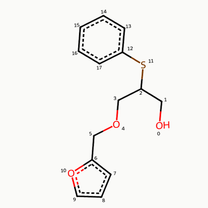 OCC(COCc1ccco1)Sc1ccccc1